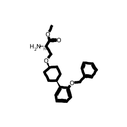 COC(=O)[C@@H](N)CO[C@H]1CC[C@@H](c2ccccc2OCc2ccccc2)CC1